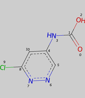 O=C(O)Nc1cnnc(Cl)c1